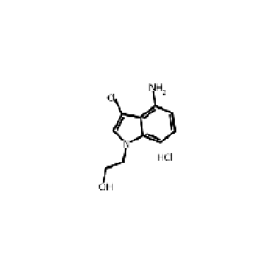 Cl.Nc1cccc2c1c(Cl)cn2CCO